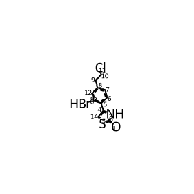 Br.O=c1[nH]c(-c2ccc(CCCl)cc2)cs1